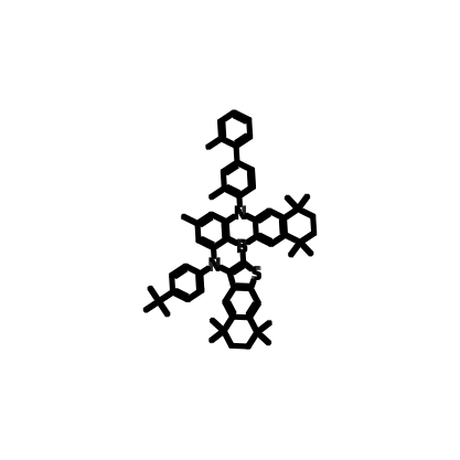 Cc1cc2c3c(c1)N(c1ccc(C(C)(C)C)cc1)c1c(sc4cc5c(cc14)C(C)(C)CCC5(C)C)B3c1cc3c(cc1N2c1ccc(-c2ccccc2C)cc1C)C(C)(C)CCC3(C)C